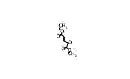 CCOC(=O)/C=C/C(=O)C(=O)OC